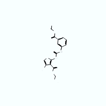 CCOC(=O)c1cccc(NC(=O)Nc2scc(C)c2C(=O)OCC)c1